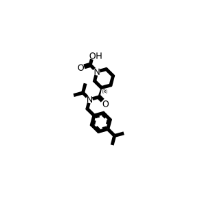 CC(C)c1ccc(CN(C(=O)[C@@H]2CCCN(C(=O)O)C2)C(C)C)cc1